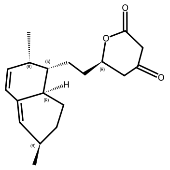 C[C@H]1C=C2C=C[C@H](C)[C@H](CC[C@@H]3CC(=O)CC(=O)O3)[C@H]2CC1